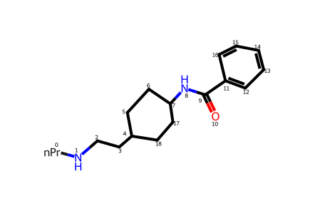 CCCNCCC1CCC(NC(=O)c2ccccc2)CC1